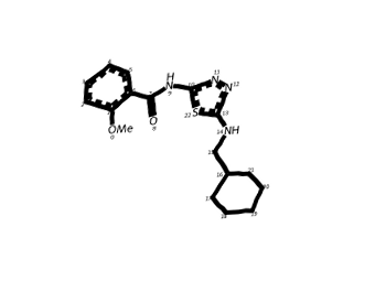 COc1ccccc1C(=O)Nc1nnc(NCC2CCCCC2)s1